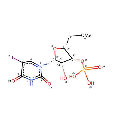 COC[C@H]1O[C@@H](n2cc(I)c(=O)[nH]c2=O)[C@@H](O)[C@H]1OP(=O)(O)O